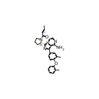 C/C=C/C(=O)N1CCC[C@H]1c1nc(-c2ccc(Oc3ccccc3C)c(C)c2)c2c(N)nccn12